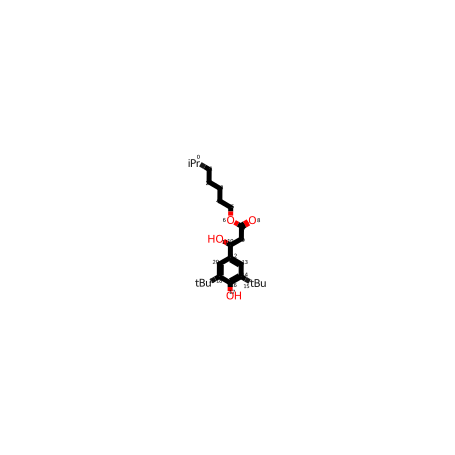 CC(C)CCCCCOC(=O)CC(O)c1cc(C(C)(C)C)c(O)c(C(C)(C)C)c1